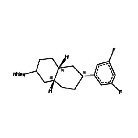 CCCCCCC1CC[C@@H]2C[C@H](c3cc(F)cc(F)c3)CC[C@@H]2C1